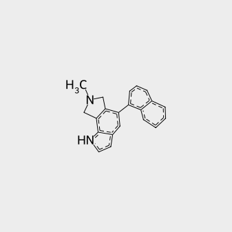 CN1Cc2c(-c3cccc4ccccc34)cc3cc[nH]c3c2C1